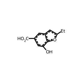 CCc1cc2cc(C(=O)O)cc(O)c2o1